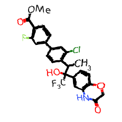 COC(=O)c1ccc(-c2ccc(C(C)C(O)(c3ccc4c(c3)NC(=O)CO4)C(F)(F)F)c(Cl)c2)cc1F